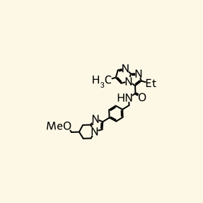 CCc1nc2ncc(C)cn2c1C(=O)NCc1ccc(-c2cn3c(n2)CC(COC)CC3)cc1